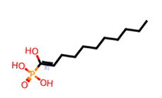 CCCCCCCCC/C=C(\O)P(=O)(O)O